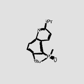 CC(C)c1ccc2c(P(C)(C)=O)c(C(C)(C)C)ccc2n1